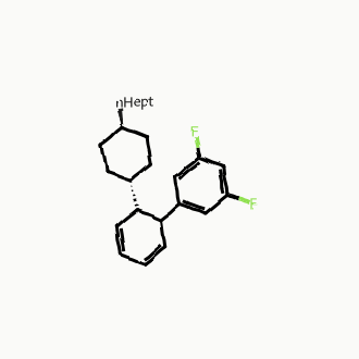 CCCCCCC[C@H]1CC[C@H](C2C=CC=CC2c2cc(F)cc(F)c2)CC1